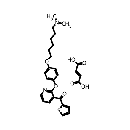 CN(C)CCCCCCOc1ccc(Oc2ncccc2C(=O)c2cccs2)cc1.O=C(O)C=CC(=O)O